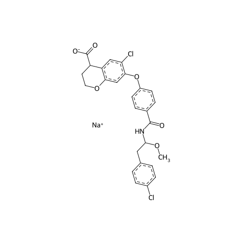 COC(Cc1ccc(Cl)cc1)NC(=O)c1ccc(Oc2cc3c(cc2Cl)C(C(=O)[O-])CCO3)cc1.[Na+]